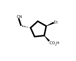 CC[C@@H]1C[C@@H](CC#N)C[C@@H]1C(=O)O